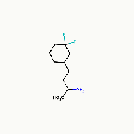 NC(CCC1CCCC(F)(F)C1)C(=O)O